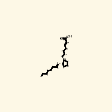 CCCCCCC=C[C@H]1CCC[C@@H]1CCCCC=CC(=O)O